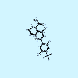 Cc1cc(C(C)(C)C)c(Cl)cc1-c1cc(=O)c2c(C(N)=O)nncc2[nH]1